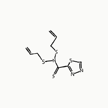 C=CCSN(SCC=C)C(=S)c1nncs1